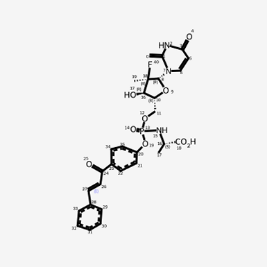 C=C1NC(=O)C=CN1[C@@H]1O[C@H](COP(=O)(N[C@@H](C)C(=O)O)Oc2ccc(C(=O)/C=C/c3ccccc3)cc2)[C@@H](O)[C@@]1(C)F